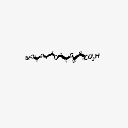 CCOCOCCOCCOCCC(=O)O